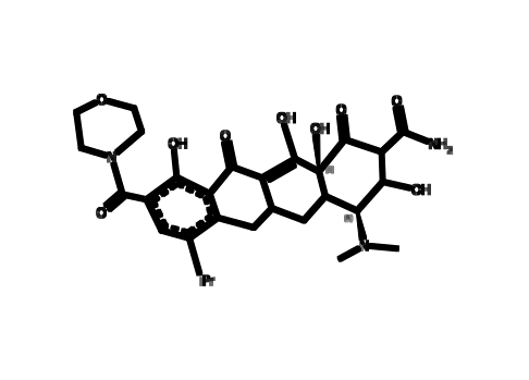 CC(C)c1cc(C(=O)N2CCOCC2)c(O)c2c1CC1CC3[C@H](N(C)C)C(O)C(C(N)=O)C(=O)[C@@]3(O)C(O)=C1C2=O